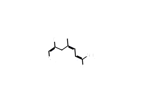 C/C(=C/C=C(\N)F)C/C(F)=C\N